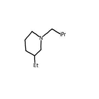 CCC1CCCN(CC(C)C)C1